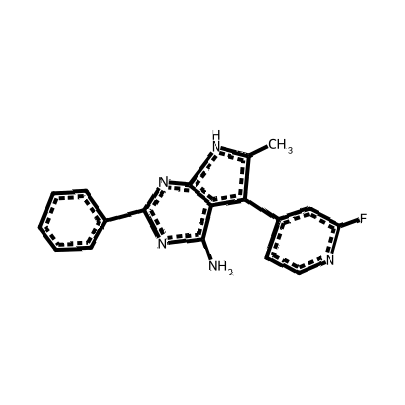 Cc1[nH]c2nc(-c3ccccc3)nc(N)c2c1-c1ccnc(F)c1